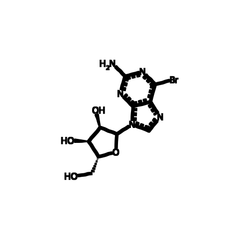 Nc1nc(Br)c2ncn(C3O[C@H](CO)[C@@H](O)[C@H]3O)c2n1